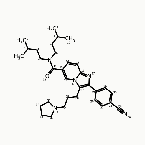 CC(C)CCN(CCC(C)C)C(=O)c1ccc2nc(-c3ccc(C#N)cc3)c(CCCN3CCCC3)n2c1